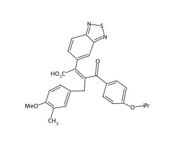 COc1ccc(CC(C(=O)c2ccc(OC(C)C)cc2)=C(C(=O)O)c2ccc3nsnc3c2)cc1C